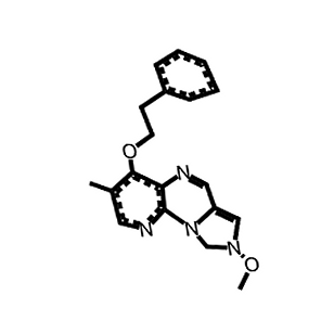 CON1C=C2C=Nc3c(ncc(C)c3OCCc3ccccc3)N2C1